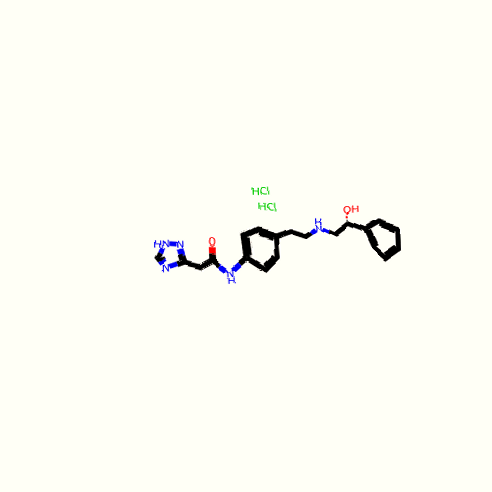 Cl.Cl.O=C(Cc1nc[nH]n1)Nc1ccc(CCNC[C@H](O)c2ccccc2)cc1